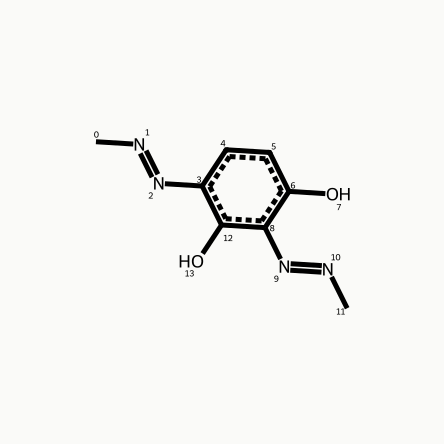 C/N=N/c1ccc(O)c(/N=N/C)c1O